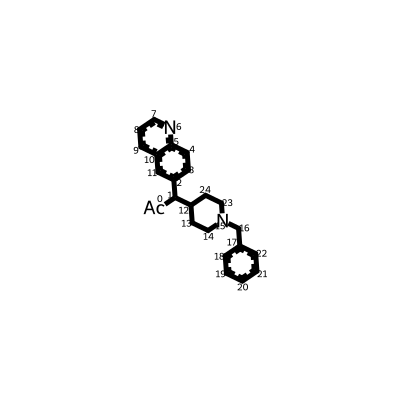 CC(=O)C(c1ccc2ncccc2c1)C1CCN(Cc2ccccc2)CC1